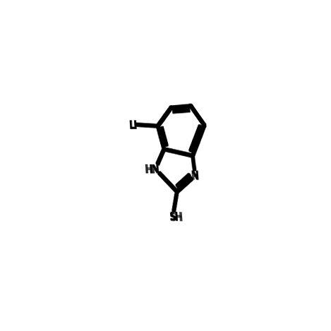 [Li][c]1cccc2nc(S)[nH]c12